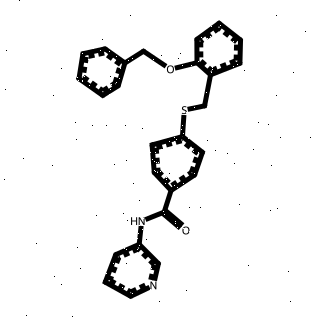 O=C(Nc1cccnc1)c1ccc(SCc2ccccc2OCc2ccccc2)cc1